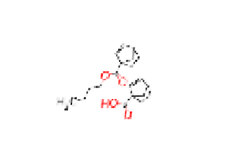 CCCCOC(=O)C12C=CC(CC1)C2.O=C(O)C12C=CC(CC1)C2